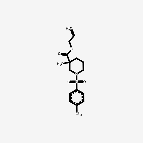 C=CCOC(=O)C1(C)CCCN(S(=O)(=O)c2ccc(C)cc2)C1